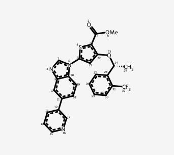 COC(=O)c1sc(-n2cnc3cc(-c4cccnc4)ccc32)cc1O[C@H](C)c1ccccc1C(F)(F)F